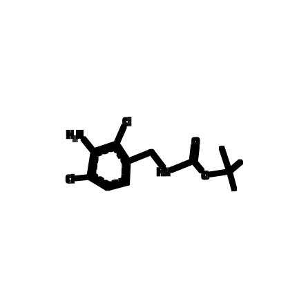 CC(C)(C)OC(=O)NCc1ccc(Cl)c(N)c1Cl